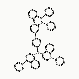 c1ccc(-c2ccc(N(c3ccc(-c4ccc5c(c4)c(-c4ccccc4)c(-c4ccccc4)c4ccccc45)cc3)c3ccc(-c4ccccc4)c4ccccc34)c3ccccc23)cc1